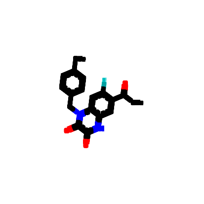 COC(=O)c1cc2[nH]c(=O)c(=O)n(Cc3ccc(OC)cc3)c2cc1F